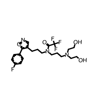 O=C(N(CCCc1cnoc1-c1ccc(F)cc1)CCCN(CCO)CCO)C(F)(F)F